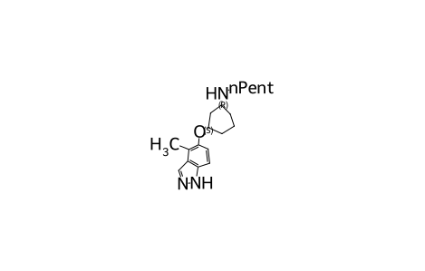 CCCCCN[C@@H]1CCC[C@H](Oc2ccc3[nH]ncc3c2C)C1